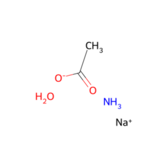 CC(=O)[O-].N.O.[Na+]